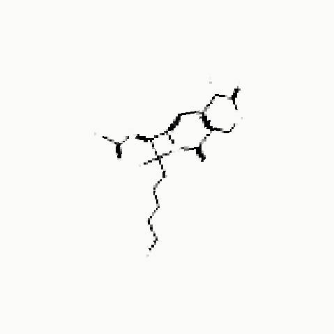 C=C(CC)/N=C1/c2cc3c(c(=O)n2C1(F)CCCCCO)COC(=O)[C@H]3O